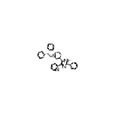 c1ccc(CCN2C[C@H](c3[nH]c(-c4ccccc4)nc3-c3ccccn3)CC[C@H]2c2ccccc2)cc1